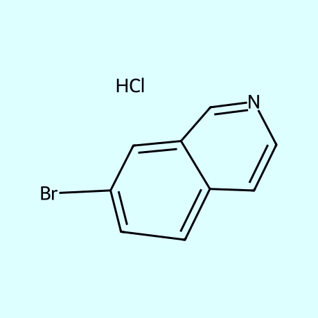 Brc1ccc2ccncc2c1.Cl